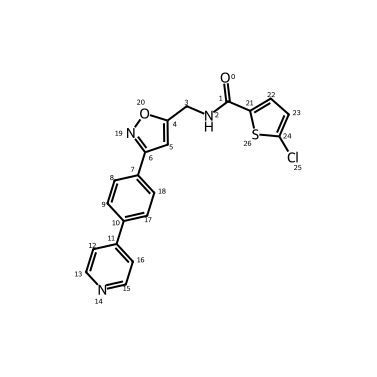 O=C(NCc1cc(-c2ccc(-c3ccncc3)cc2)no1)c1ccc(Cl)s1